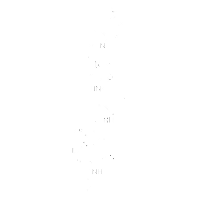 CCn1c(=C(C#N)C(=O)NCC(F)(F)F)sc(=CNc2cccc(NC(=O)CN3CCN(c4ccc(Cl)cc4)CC3)c2)c1=O